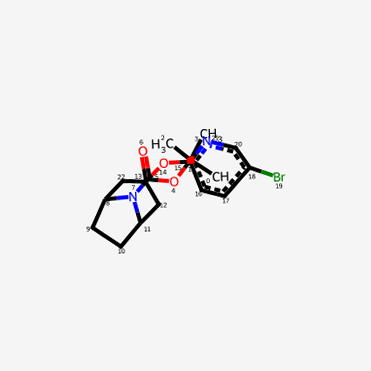 CC(C)(C)OC(=O)N1C2CCC1CC(Oc1ccc(Br)cn1)C2